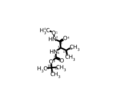 CONC(=O)C(NC(=O)OC(C)(C)C)C(C)C